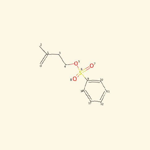 C=C(C)CCOS(=O)(=O)c1ccccc1